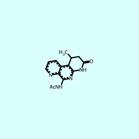 CC(=O)Nc1nc2c(c3cccnc13)C(C)CC(=O)N2